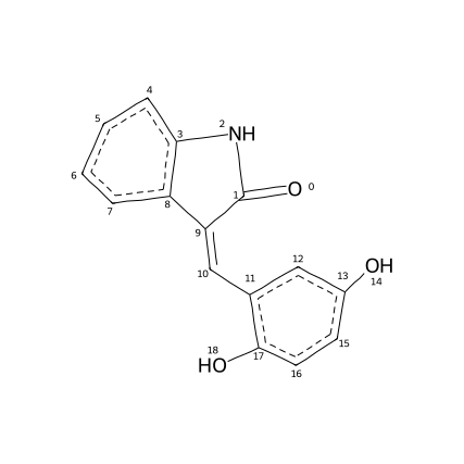 O=C1Nc2ccccc2C1=Cc1cc(O)ccc1O